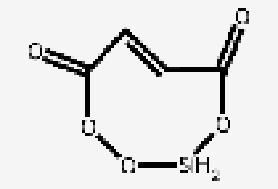 O=C1/C=C/C(=O)O[SiH2]OO1